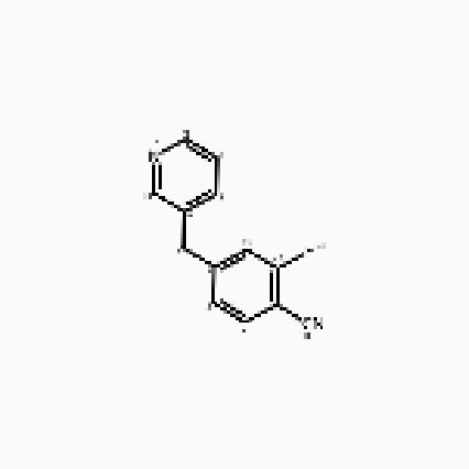 N#Cc1ccc(Cc2cccnc2)cc1F